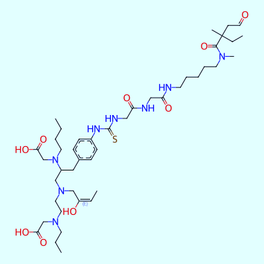 C/C=C(/O)CN(CCN(CCC)CC(=O)O)CC(Cc1ccc(NC(=S)NCC(=O)NCC(=O)NCCCCCN(C)C(=O)C(C)(CC)CC=O)cc1)N(CCCC)CC(=O)O